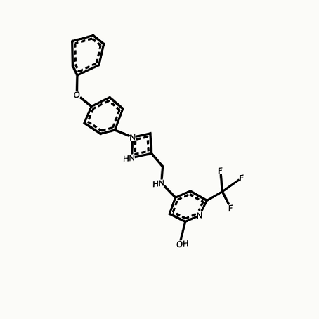 Oc1cc(NCc2cn(-c3ccc(Oc4ccccc4)cc3)[nH]2)cc(C(F)(F)F)n1